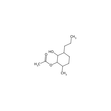 CCCC1CCC(C)C(OC(C)=O)C1O